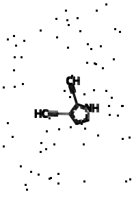 C#Cc1cc[nH]c1C#C